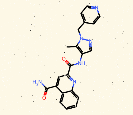 Cc1c(NC(=O)c2cc(C(N)=O)c3ccccc3n2)cnn1Cc1ccncc1